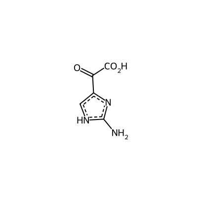 Nc1nc(C(=O)C(=O)O)c[nH]1